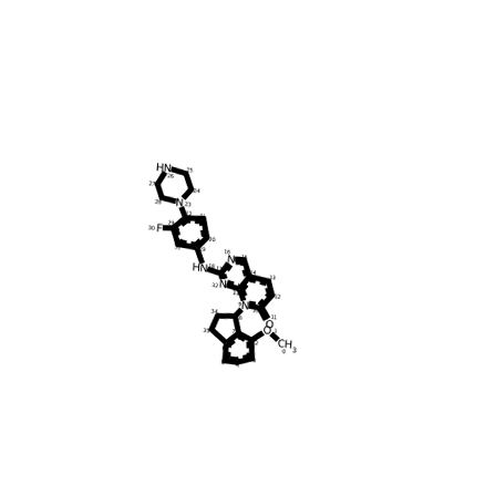 COc1cccc2c1C(n1c(=O)ccc3cnc(Nc4ccc(N5CCNCC5)c(F)c4)nc31)CC2